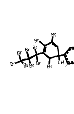 CC1(c2ccccc2)C=C(Br)C(Br)=C(C(Br)(Br)C(Br)(Br)C(Br)(Br)Br)C1Br